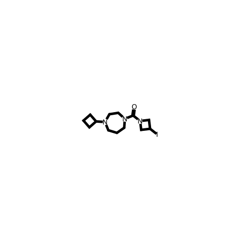 O=C(N1CCCN(C2CCC2)CC1)N1CC(I)C1